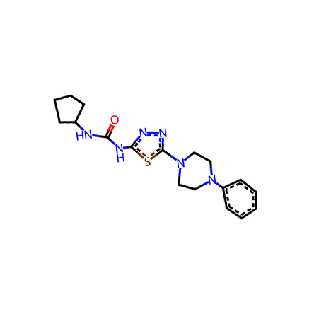 O=C(Nc1nnc(N2CCN(c3ccccc3)CC2)s1)NC1CCCC1